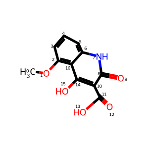 COc1cccc2[nH]c(=O)c(C(=O)O)c(O)c12